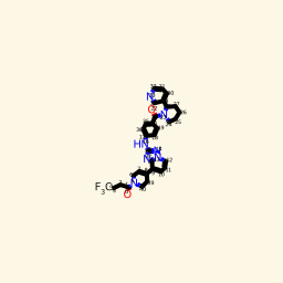 O=C(CCC(F)(F)F)N1CC=C(c2cccn3nc(Nc4ccc(C(=O)N5CCCCC5c5cccnc5)cc4)nc23)CC1